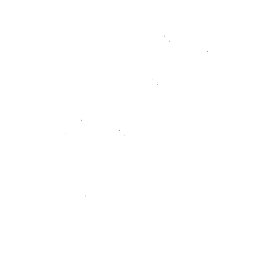 Cc1cc(-c2cccc(-c3ncccn3)n2)nc2c(C(=O)NC(C3CC3)C(F)(F)F)cnn12